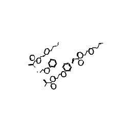 C=C(C)C(=O)OCCOCCCC.C=C(C)C(=O)OCCOc1ccccc1.C=CC(=O)OCCOCCCC.[CH2]COc1ccccc1